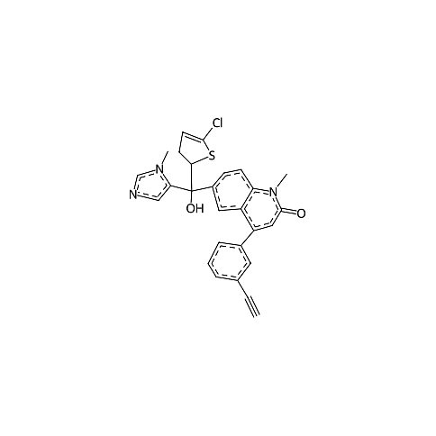 C#Cc1cccc(-c2cc(=O)n(C)c3ccc(C(O)(c4cncn4C)C4CC=C(Cl)S4)cc23)c1